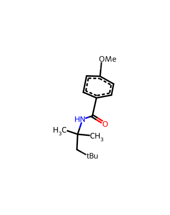 COc1ccc(C(=O)NC(C)(C)CC(C)(C)C)cc1